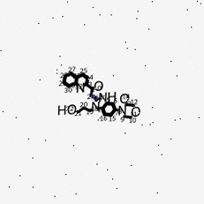 O=C(/C=C1\Nc2cc(N3CCOCC3=O)ccc2N1CCCO)c1ccc2ccccc2n1